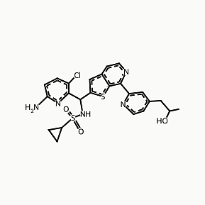 CC(O)Cc1ccnc(-c2nccc3cc(C(NS(=O)(=O)C4CC4)c4nc(N)ccc4Cl)sc23)c1